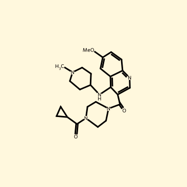 COc1ccc2ncc(C(=O)N3CCN(C(=O)C4CC4)CC3)c(NC3CCN(C)CC3)c2c1